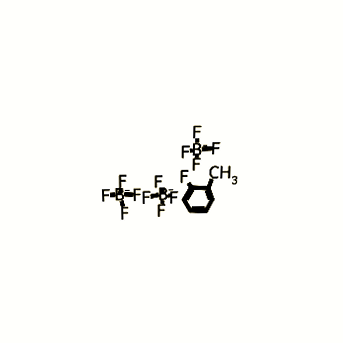 Cc1ccccc1F.F[B-](F)(F)F.F[B-](F)(F)F.F[B-](F)(F)F